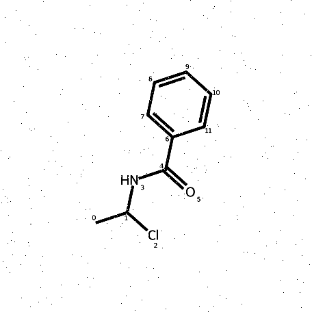 CC(Cl)NC(=O)c1ccccc1